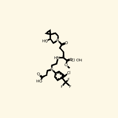 COC(=O)C(CCC(=O)N1CCC2(CC2)C(O)C1)NCCN(CCC(=O)O)c1ccc(C(F)(F)F)c(Cl)c1.Cl.Cl